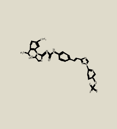 Cc1ccc(C(C)C)c(N2/C(=N/C(=O)Nc3ccc(/C=C/c4ncn(-c5ccc(OC(F)(F)F)cn5)n4)cc3)SCC2O)c1